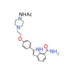 CC(=O)NN1CCN(CCOc2ccc(-c3cc4cccc(C(N)=O)c4[nH]3)cc2)CC1